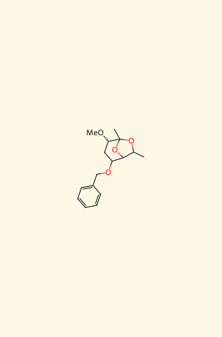 COC1CC(OCc2ccccc2)C2OC1(C)OC2C